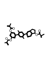 C=C(C)C(=O)Oc1cc(OC(=O)C(=C)C)cc(-c2cc(C)c(-c3ccc4c(c3)CCC4OC(=O)C(=C)C)cc2C)c1